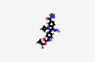 CCC(C)NC(=O)c1ccc2c(N)c(-c3ccc(NC(=O)O[C@H](C)C4CC4)cc3)n(C3CCC3)c2c1